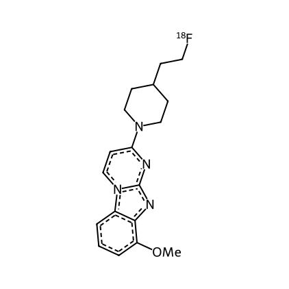 COc1cccc2c1nc1nc(N3CCC(CC[18F])CC3)ccn12